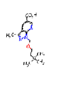 Cc1nn(COCC[Si](C)(C)C)c2ncc(C(=O)O)cc12